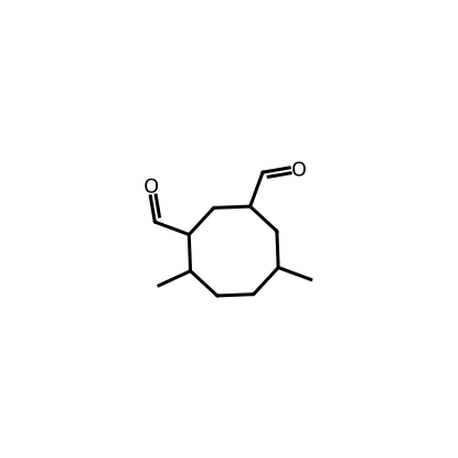 CC1CCC(C)C(C=O)CC(C=O)C1